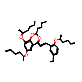 CCCCC(C)Oc1cc(OC(C)CCCC)c(OC(C)CCCC)c(C(=O)C=Cc2cc(CC)ccc2OC(C)CCCC)c1